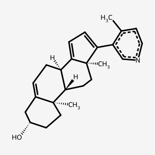 Cc1ccncc1C1=CC=C2[C@@H]3CC=C4C[C@@H](O)CC[C@]4(C)[C@H]3CC[C@]12C